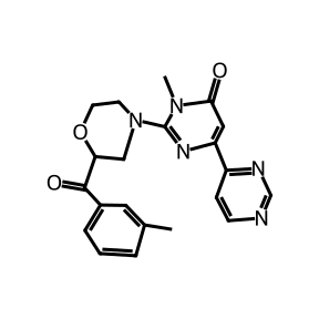 Cc1cccc(C(=O)C2CN(c3nc(-c4ccncn4)cc(=O)n3C)CCO2)c1